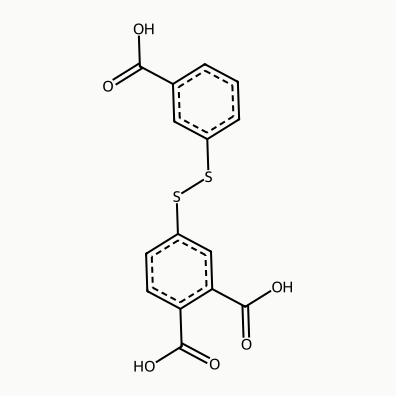 O=C(O)c1cccc(SSc2ccc(C(=O)O)c(C(=O)O)c2)c1